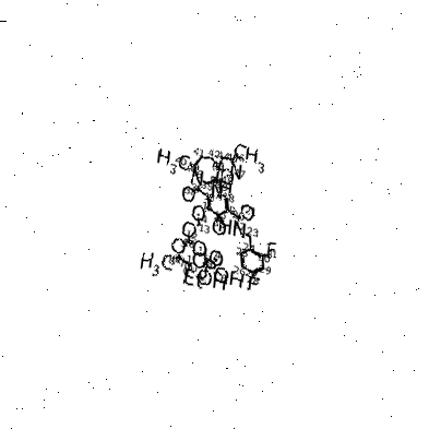 CC[C@H](OP(=O)(O)O)[C@@H](C)OC(=O)OCOc1c2n(cc(C(=O)NCc3ccc(F)cc3F)c1=O)[C@@H]1CN(C2=O)[C@@H](C)CC[C@]12CC(C)=NO2